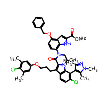 COC(=O)c1cc2c(OCc3ccccc3)ccc(N3C[C@@H](C)n4c(c(CCCOc5cc(C)c(Cl)c(C)c5)c5ccc(Cl)c(-c6c(C)nn(C)c6C)c54)C3=O)c2[nH]1